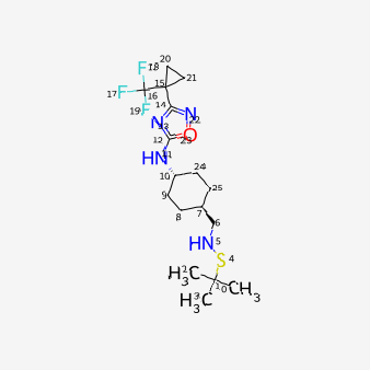 CC(C)(C)SNC[C@H]1CC[C@H](Nc2nc(C3(C(F)(F)F)CC3)no2)CC1